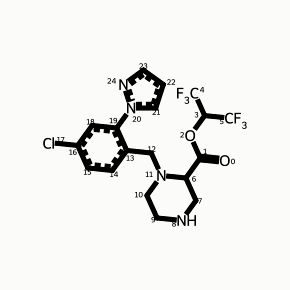 O=C(OC(C(F)(F)F)C(F)(F)F)C1CNCCN1Cc1ccc(Cl)cc1-n1cccn1